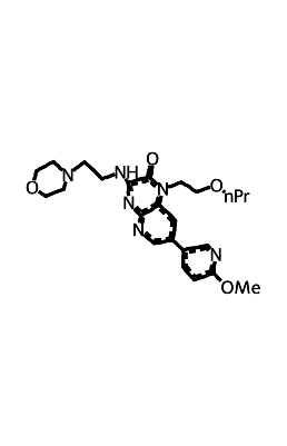 CCCOCCn1c(=O)c(NCCN2CCOCC2)nc2ncc(-c3ccc(OC)nc3)cc21